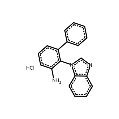 Cl.Nc1cccc(-c2ccccc2)c1-n1cnc2ccccc21